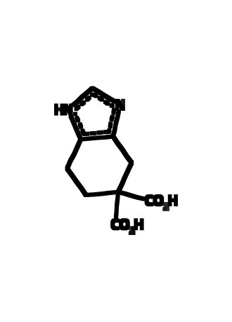 O=C(O)C1(C(=O)O)CCc2[nH]cnc2C1